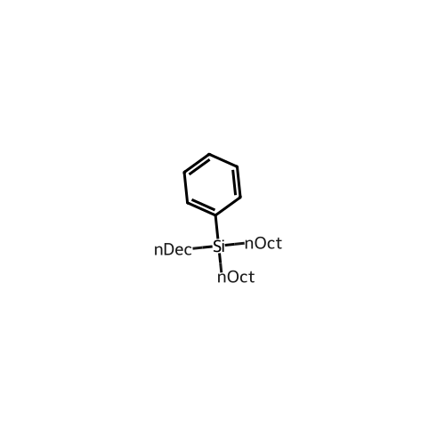 CCCCCCCCCC[Si](CCCCCCCC)(CCCCCCCC)c1ccccc1